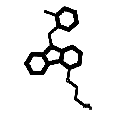 Cc1ccccc1Cn1c2ccccc2c2c(OCCN)cccc21